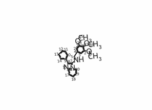 COc1cc(CNc2c(-c3ccccc3)nc3ccccn23)cc(OC)c1OC